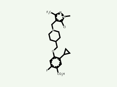 Cn1nc(C(F)(F)F)c(CN2CCC(COc3cc(F)c(C(=O)O)cc3C3CC3)CC2)c1Cl